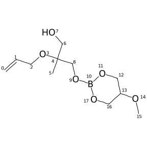 C=CCOC(C)(CO)COB1OCC(OC)CO1